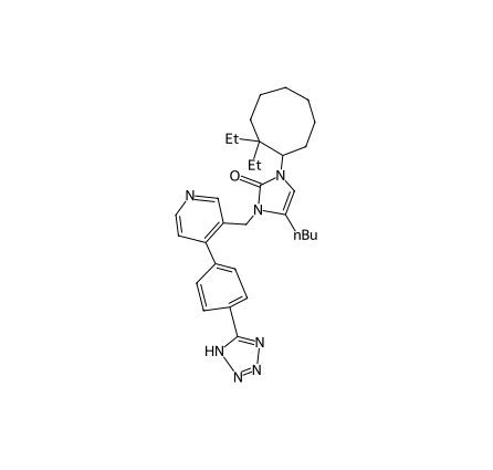 CCCCc1cn(C2CCCCCCC2(CC)CC)c(=O)n1Cc1cnccc1-c1ccc(-c2nnn[nH]2)cc1